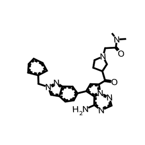 CN(C)C(=O)CN1CCC(C(=O)c2cc(-c3ccc4cn(Cc5ccccc5)nc4c3)c3c(N)ncnn23)C1